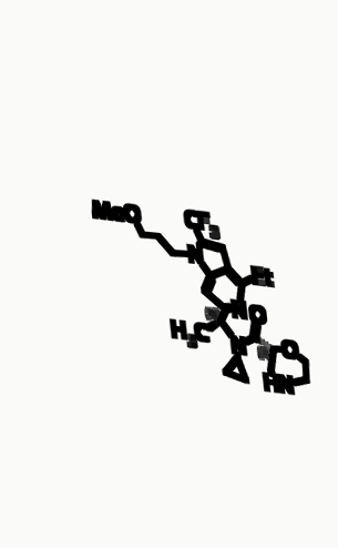 CCc1nc([C@H](C)N(C(=O)[C@H]2CNCCO2)C2CC2)cc2c1cc(C(F)(F)F)n2CCCOC